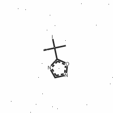 CC(C)(I)c1ncno1